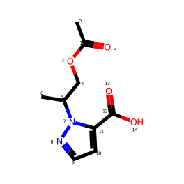 CC(=O)OCC(C)n1nccc1C(=O)O